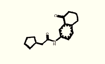 O=C(CC1CCCC1)Nc1ccc2c(c1)C(=O)CCC2